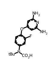 CC(C)(C)N(C(=O)O)c1ccc(Oc2cc(N)nc(N)c2)c(F)c1